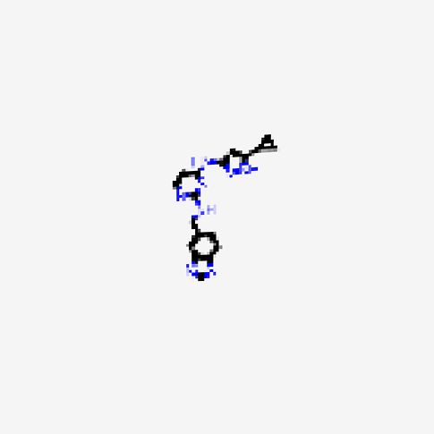 c1cc(Nc2cc(C3CC3)[nH]n2)nc(NCc2ccc3[nH]cnc3c2)n1